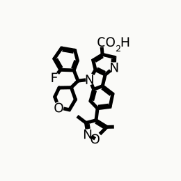 Cc1noc(C)c1-c1ccc2c3ncc(C(=O)O)cc3n(C(c3ccccc3F)C3CCOCC3)c2c1